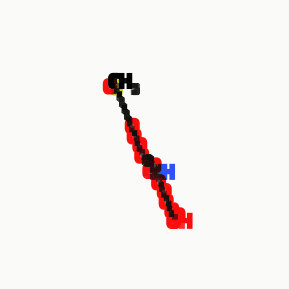 CC(=O)SCCCCCCCCCCCOCCOCCOCCOc1ccc(OC(=O)NCCOCCOCCOCCOCC(=O)O)cc1